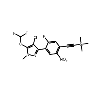 Cn1nc(-c2cc([N+](=O)[O-])c(C#C[Si](C)(C)C)cc2F)c(Cl)c1OC(F)F